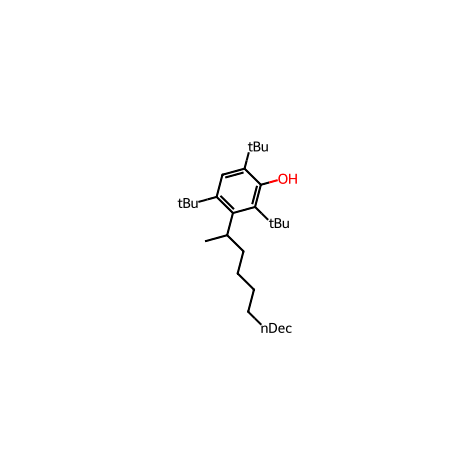 CCCCCCCCCCCCCCC(C)c1c(C(C)(C)C)cc(C(C)(C)C)c(O)c1C(C)(C)C